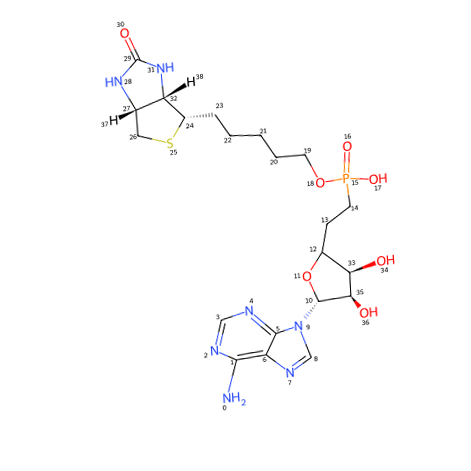 Nc1ncnc2c1ncn2[C@@H]1OC(CCP(=O)(O)OCCCCC[C@@H]2SC[C@@H]3NC(=O)N[C@@H]32)[C@@H](O)[C@H]1O